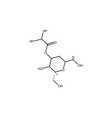 CCCC(CCC)C(=O)OC1CC(NO)O[C@H](CO)C1O